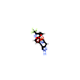 O=S(=O)(c1ccc(C(F)(F)F)nc1)N1C2Cc3n[nH]cc3C1c1cccc(C3CC3)c1C2